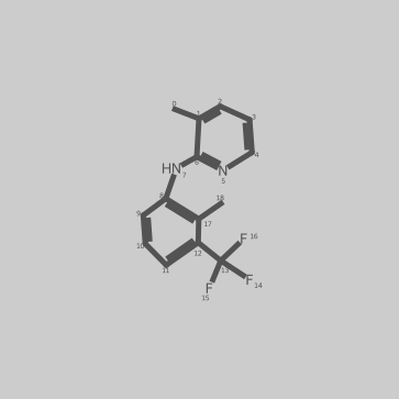 Cc1cccnc1Nc1cccc(C(F)(F)F)c1C